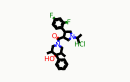 CC(C)N1CC(C(=O)N2CC(C)C(O)(c3ccccc3)C(C)C2)C(c2ccc(F)cc2F)C1.Cl